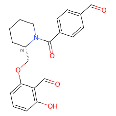 O=Cc1ccc(C(=O)N2CCCC[C@H]2COc2cccc(O)c2C=O)cc1